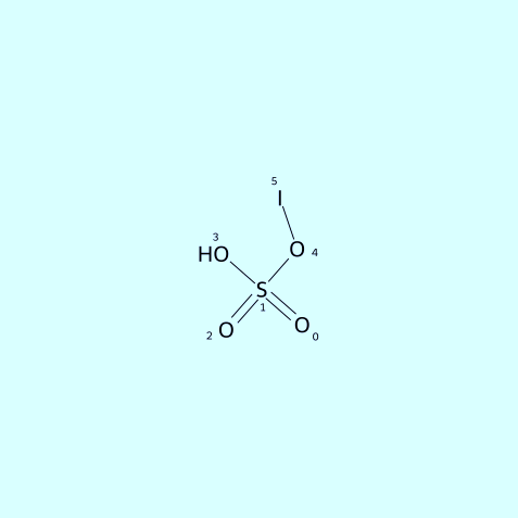 O=S(=O)(O)OI